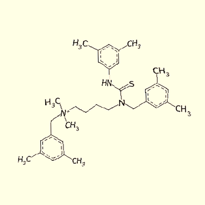 Cc1cc(C)cc(CN(CCCC[N+](C)(C)Cc2cc(C)cc(C)c2)C(=S)Nc2cc(C)cc(C)c2)c1